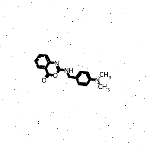 CN(C)c1ccc(CNc2nc3ccccc3c(=O)o2)cc1